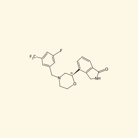 O=C1NCc2c1cccc2[C@@H]1CN(Cc2cc(F)cc(C(F)(F)F)c2)CCO1